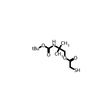 CC(C)(COC(=O)CS)NC(=O)OC(C)(C)C